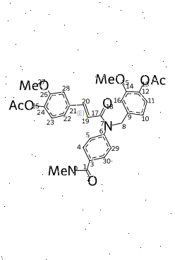 CNC(=O)c1ccc(N(Cc2ccc(OC(C)=O)c(OC)c2)C(=O)/C=C/c2ccc(OC(C)=O)c(OC)c2)cc1